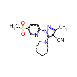 CS(=O)(=O)c1ccc(-n2nc(C(F)(F)F)c(C#N)c2N2CCCCCC2)nc1